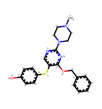 CN1CCN(c2ncc(Sc3ccc(O)cc3)c(OCc3ccccc3)n2)CC1